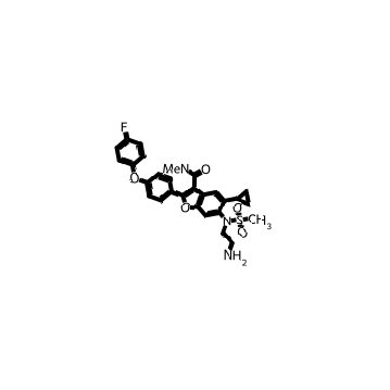 CNC(=O)c1c(-c2ccc(Oc3ccc(F)cc3)cc2)oc2cc(N(CCN)S(C)(=O)=O)c(C3CC3)cc12